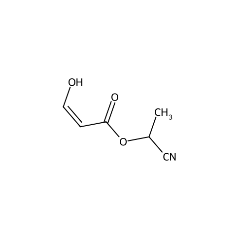 CC(C#N)OC(=O)/C=C\O